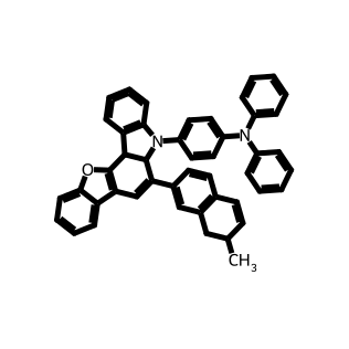 CC1C=Cc2ccc(C3=Cc4c(oc5ccccc45)C4C5=C(C=C=C=C5)N(c5ccc(N(c6ccccc6)c6ccccc6)cc5)C34)cc2C1